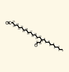 CCCCCCCCCC(CC=O)CCCCCCCCCCCCC=C=O